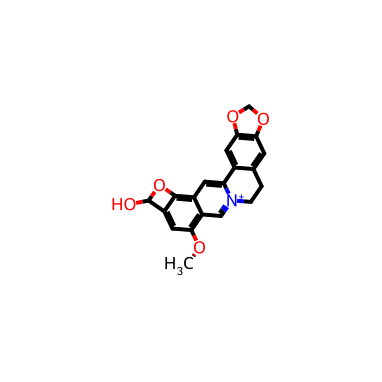 COc1cc2c(c3cc4[n+](cc13)CCc1cc3c(cc1-4)OCO3)OC2O